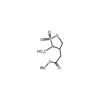 CC(C)(C)OC(=O)CC1COS(=O)(=O)N1C(=O)O